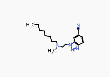 CCCCCCCCN(C)CCn1nnc2ccc(C#N)cc21